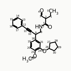 CCC(C=O)C(=O)NCC(C#Cc1ccccc1)c1ccc(OC)c(OC2CCCC2)c1